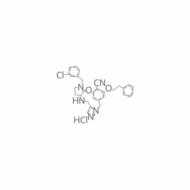 Cl.N#Cc1ccc(Cn2cncc2CNC2CCN(Cc3cccc(Cl)c3)C2=O)cc1OCCc1ccccc1